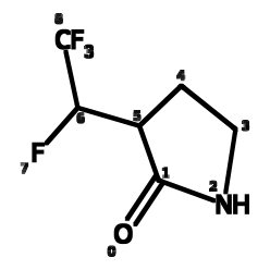 O=C1NCCC1C(F)C(F)(F)F